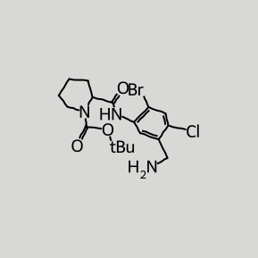 CC(C)(C)OC(=O)N1CCCCC1C(=O)Nc1cc(CN)c(Cl)cc1Br